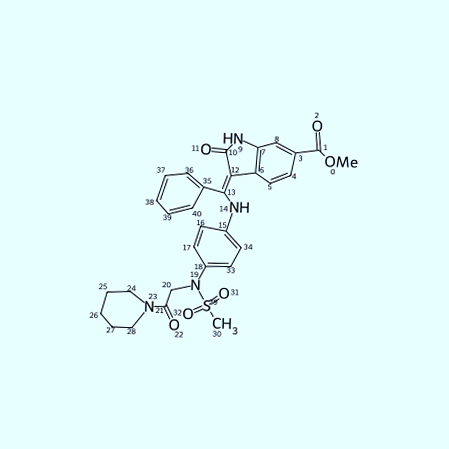 COC(=O)c1ccc2c(c1)NC(=O)C2=C(Nc1ccc(N(CC(=O)N2CCCCC2)S(C)(=O)=O)cc1)c1ccccc1